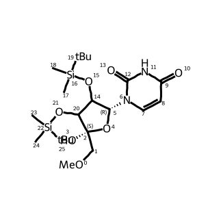 COC[C@]1(O)O[C@@H](n2ccc(=O)[nH]c2=O)C(O[Si](C)(C)C(C)(C)C)C1O[Si](C)(C)C(C)(C)C